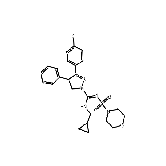 O=S(=O)(N=C(NCC1CC1)N1CC(c2ccccc2)C(c2ccc(Cl)cc2)=N1)N1CCOCC1